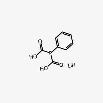 O=C(O)P(C(=O)O)c1ccccc1.[LiH]